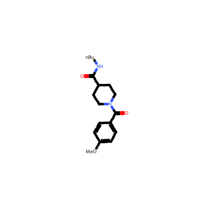 CCCCNC(=O)C1CCN(C(=O)c2ccc(OC)cc2)CC1